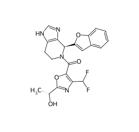 C[C@@H](O)c1nc(C(F)F)c(C(=O)N2CCc3[nH]cnc3[C@H]2c2cc3ccccc3o2)o1